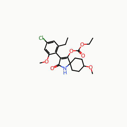 CCOC(=O)OC1=C(c2c(CC)cc(Cl)cc2OC)C(=O)NC12CCC(OC)CC2